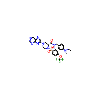 CCN(C)c1ccc(CNC(=O)[C@H]2CN(c3cnc4cncnc4n3)CCN2S(=O)(=O)c2ccc(OC(F)(F)F)cc2)cc1